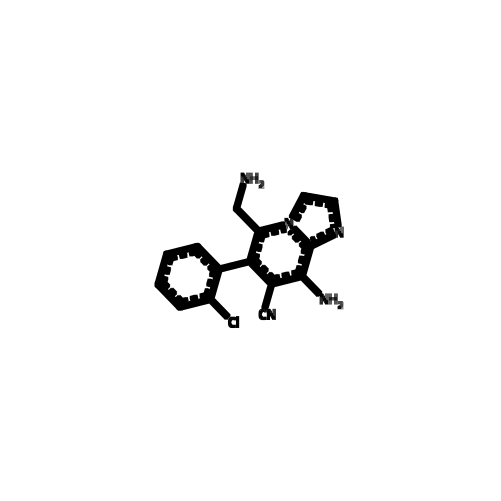 N#Cc1c(-c2ccccc2Cl)c(CN)n2ccnc2c1N